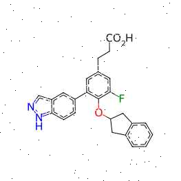 O=C(O)CCc1cc(F)c(OC2Cc3ccccc3C2)c(-c2ccc3[nH]ncc3c2)c1